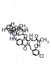 CNC(=O)CNc1nc2cc(N/C(=N/[C@H]3C[C@@H]4C[C@H](C3C)C4(C)C)N3CC(=O)N[C@@H](C)C3)ccc2c(=O)n1CCc1ccc(Cl)cc1Cl